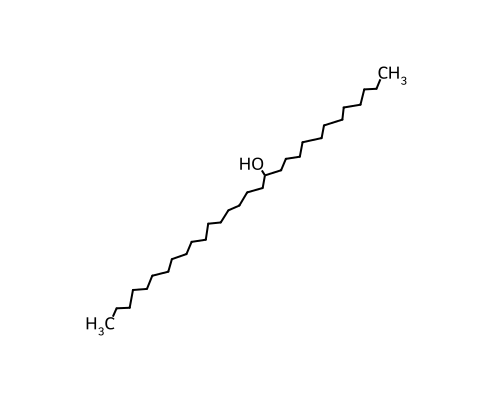 CCCCCCCCCCCCCCCCCC(O)CCCCCCCCCCCC